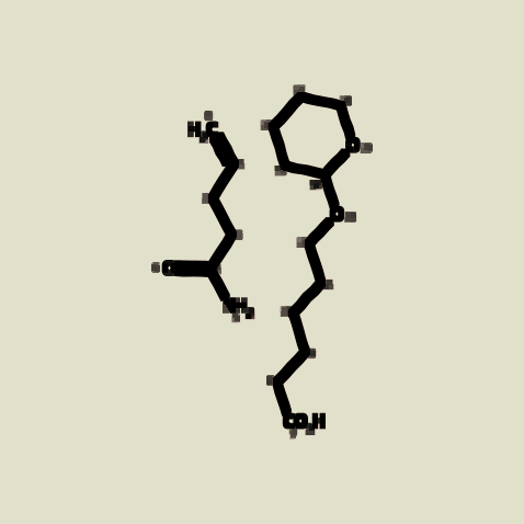 C=CCCC(N)=O.O=C(O)CCCCCOC1CCCCO1